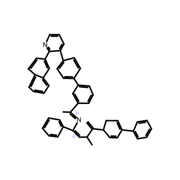 C=C(C(C)/C=C(\N=C(/C)c1cccc(-c2ccc(-c3cccnc3-c3ccc4ccccc4c3)cc2)c1)c1ccccc1)C1C=CC(c2ccccc2)=CC1